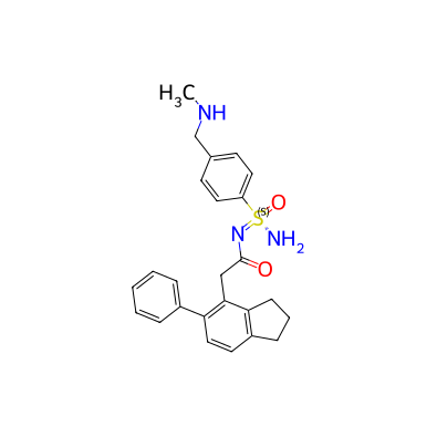 CNCc1ccc([S@@](N)(=O)=NC(=O)Cc2c(-c3ccccc3)ccc3c2CCC3)cc1